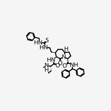 CC[C@H](NC)C(=O)N[C@@H]1C(=O)N2[C@@H](CC[C@@H]1CCNC(=S)NCc1ccccc1)CC[C@H]2C(=O)NC(c1ccccc1)c1ccccc1